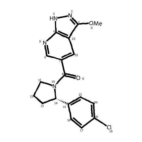 COc1n[nH]c2ncc(C(=O)N3CCC[C@H]3c3ccc(Cl)cc3)cc12